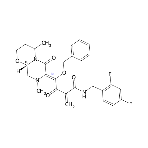 C=C(C(=O)NCc1ccc(F)cc1F)C(=O)/C(OCc1ccccc1)=C1/C(=O)N2C(C)CCO[C@H]2CN1C